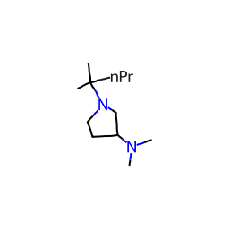 CCCC(C)(C)N1CCC(N(C)C)C1